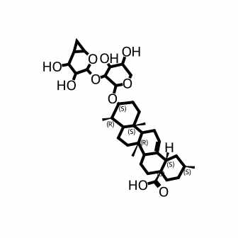 C[C@H]1CC[C@]2(C(=O)O)CCC3C(=CCC4[C@@]3(C)CCC3[C@@H](C)[C@@H](OC5OCC(O)C(O)C5OC5OC6CC6C(O)C5O)CC[C@@]34C)[C@@H]2C1